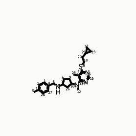 Cc1ccc(CNC2CCC(N(C)c3ncnc(SCCC4CC4)c3C)C2)cc1